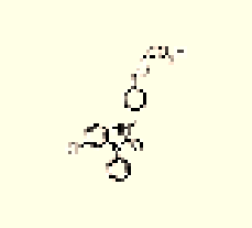 O=C(O)COC[C@H]1CC[C@H](CNC(=O)N(c2ccccc2)c2cccc(Cl)c2)CC1